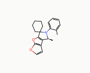 Cc1ccccc1N1[C@@H](C)c2c(oc3occc23)C12CCCCC2